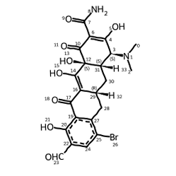 CN(C)[C@@H]1C(O)=C(C(N)=O)C(=O)[C@@]2(O)C(O)=C3C(=O)c4c(O)c(C=O)cc(Br)c4C[C@H]3C[C@@H]12